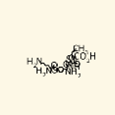 CC=CC1=C(C(=O)O)N2C(=O)[C@@H](NC(=O)[C@H](N)c3ccc(OC(=O)[C@@H](N)CCCCN)cc3)[C@@H]2SC1